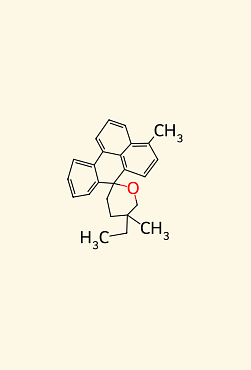 CCC1(C)CCC2(OC1)c1ccccc1-c1cccc3c(C)ccc2c13